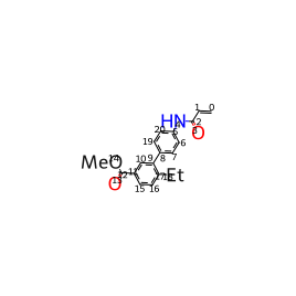 C=CC(=O)Nc1ccc(-c2cc(C(=O)OC)ccc2CC)cc1